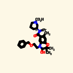 Cc1cc2c(cc1C(=O)N(C(C)C)[C@@H]1CCCN(C(=O)O)C1)N(CCOCc1ccccc1)C(O)C(C)(C)O2